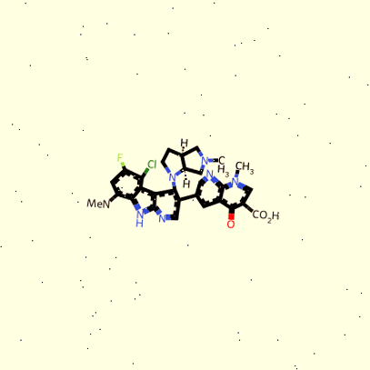 CNc1cc(F)c(Cl)c2c1[nH]c1ncc(-c3cnc4c(c3)c(=O)c(C(=O)O)cn4C)c(N3CC[C@H]4CN(C)C[C@H]43)c12